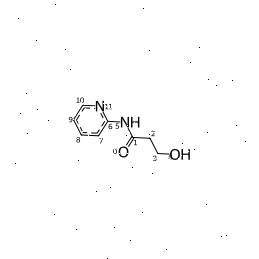 O=C(CCO)Nc1ccccn1